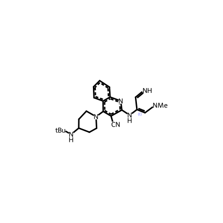 CN/C=C(\C=N)Nc1nc2ccccc2c(N2CCC(NC(C)(C)C)CC2)c1C#N